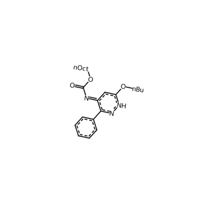 CCCCCCCCOC(=O)N=c1cc(OCCCC)[nH]nc1-c1ccccc1